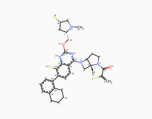 C=C(F)C(=O)N1CCC2[C@H]1CN2c1nc(OC[C@@H]2C[C@@H](F)CN2C)nc2c(F)c(-c3cccc4c3CCCC4)ccc12